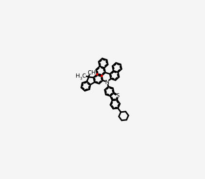 CC1(C)c2ccccc2-c2cc(N(c3ccc4c(c3)sc3cc(C5CCCCC5)ccc34)c3ccc4ccccc4c3-c3cccc4ccccc34)ccc21